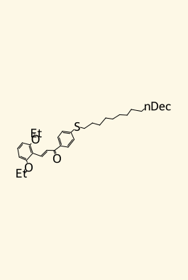 CCCCCCCCCCCCCCCCCCCSc1ccc(C(=O)C=Cc2c(OCC)cccc2OCC)cc1